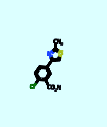 Cc1nc(-c2ccc(Cl)c(C(=O)O)c2)cs1